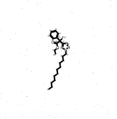 CCCCCCCCCCCCn1nnc(C(F)(C(=O)OCC)c2ccccc2)n1